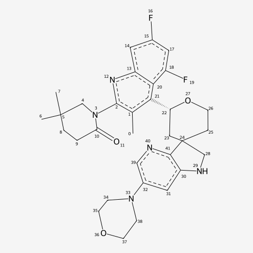 Cc1c(N2CC(C)(C)CCC2=O)nc2cc(F)cc(F)c2c1[C@H]1CC2(CCO1)CNc1cc(N3CCOCC3)cnc12